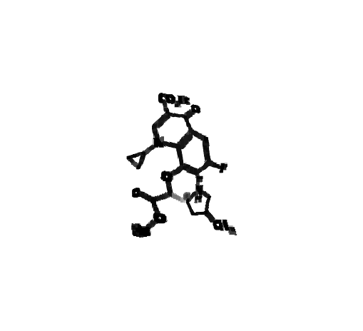 C=C1CN[C@@H](C(Oc2c(F)c(F)cc3c(=O)c(C(=O)OCC)cn(C4CC4)c23)C(=O)OC(C)(C)C)C1